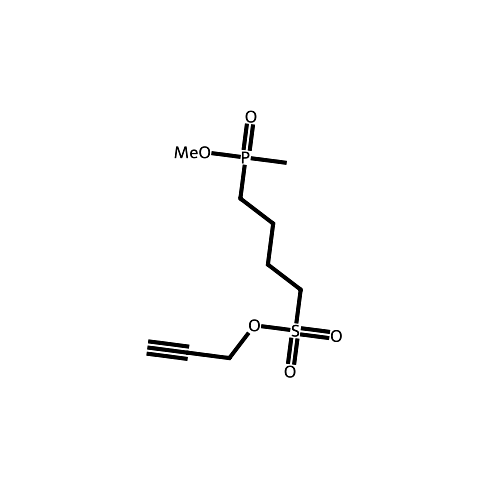 C#CCOS(=O)(=O)CCCCP(C)(=O)OC